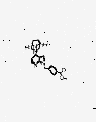 COC(=O)c1ccc(Cn2ccc3c(N4C[C@H]5CC[C@@H](C4)N5)ccnc32)cc1